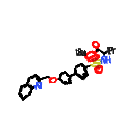 CC(C)C(NS(=O)(=O)c1ccc(-c2ccc(OCc3ccc4ccccc4n3)cc2)cc1)C(=O)OC(C)(C)C